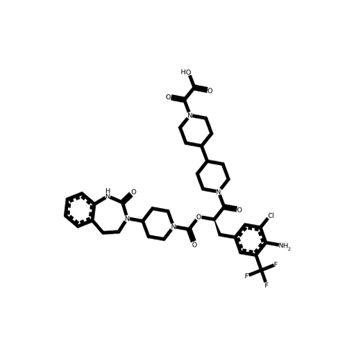 Nc1c(Cl)cc(C[C@@H](OC(=O)N2CCC(N3CCc4ccccc4NC3=O)CC2)C(=O)N2CCC(C3CCN(C(=O)C(=O)O)CC3)CC2)cc1C(F)(F)F